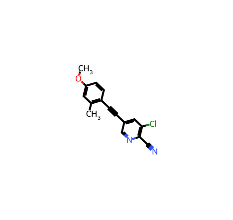 COc1ccc(C#Cc2cnc(C#N)c(Cl)c2)c(C)c1